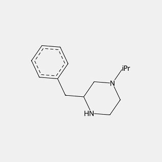 CC(C)N1CCNC(Cc2ccccc2)C1